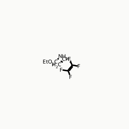 C=C.CCOC(N)=O.FC(F)=C(F)F